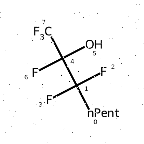 CCCCCC(F)(F)C(O)(F)C(F)(F)F